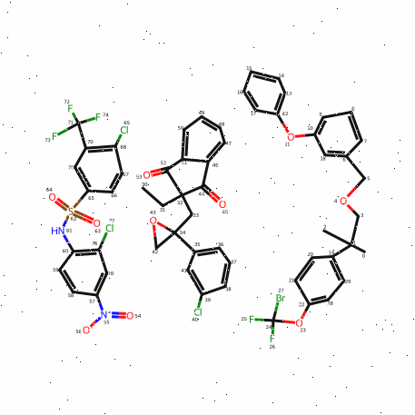 CC(C)(COCc1cccc(Oc2ccccc2)c1)c1ccc(OC(F)(F)Br)cc1.CCC1(CC2(c3cccc(Cl)c3)CO2)C(=O)c2ccccc2C1=O.O=[N+]([O-])c1ccc(NS(=O)(=O)c2ccc(Cl)c(C(F)(F)F)c2)c(Cl)c1